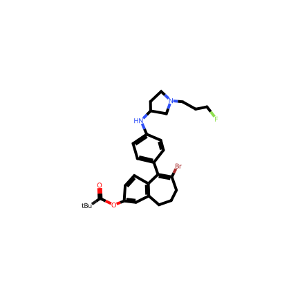 CC(C)(C)C(=O)Oc1ccc2c(c1)CCCC(Br)=C2c1ccc(NC2CCN(CCCF)C2)cc1